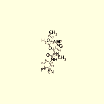 C=CC[C@@]1(C)COc2c(cn(C)c2C(=O)Nc2ccc(F)c(C#N)c2)S(=O)(=O)N1